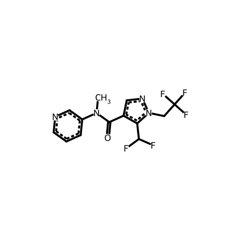 CN(C(=O)c1cnn(CC(F)(F)F)c1C(F)F)c1cccnc1